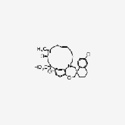 CN1CC/C=C/CCCN2C[C@@]3(CCCc4cc(Cl)ccc43)COc3ccc(cc32)[C@@](O)(C(=O)O)CC1=O